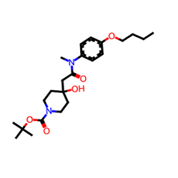 CCCCOc1ccc(N(C)C(=O)CC2(O)CCN(C(=O)OC(C)(C)C)CC2)cc1